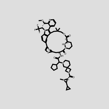 CO[C@@H](C)c1ncccc1-c1c2c3cc(ccc3n1CC(F)(F)F)-c1csc(n1)C[C@H](NC(=O)C(C1CCCC1)N1CCCC3(CN(C(=O)[C@H]4C(C5CC5)N4C)C3)C1)C(=O)N1CCC[C@H](N1)C(=O)OCC(C)(C)C2